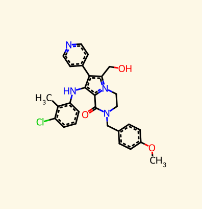 COc1ccc(CN2CCn3c(CO)c(-c4ccncc4)c(Nc4cccc(Cl)c4C)c3C2=O)cc1